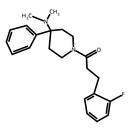 CN(C)C1(c2ccccc2)CCN(C(=O)CCc2ccccc2F)CC1